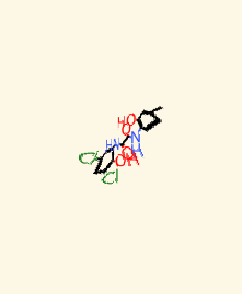 Cc1ccc(NC(=O)C(=O)Nc2cc(Cl)cc(Cl)c2O)c(O)c1